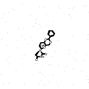 O=c1ccn(C2OC34COC(c5ccccc5)OC3CC2OC4)c(=O)[nH]1